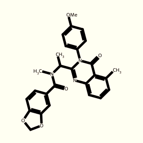 COc1ccc(-n2c(C(C)N(C)C(=O)c3ccc4c(c3)OCO4)nc3cccc(C)c3c2=O)cc1